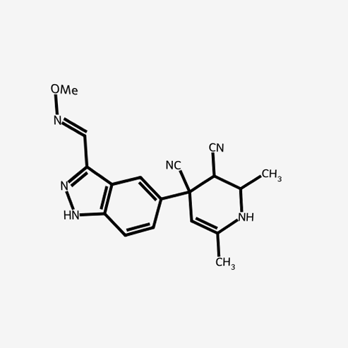 CON=Cc1n[nH]c2ccc(C3(C#N)C=C(C)NC(C)C3C#N)cc12